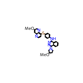 COc1cnc2c(Sc3ccc(Nc4nnc(N5CC[C@@H](OC)C5)c5ccccc45)cc3)ccnc2c1